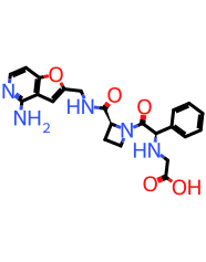 Nc1nccc2oc(CNC(=O)[C@@H]3CCN3C(=O)[C@H](NCC(=O)O)c3ccccc3)cc12